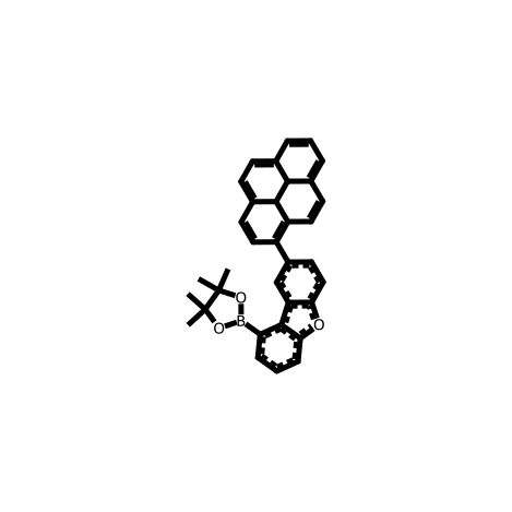 CC1(C)OB(c2cccc3oc4ccc(C5=C6C=CC7=CC=CC8=CC=C(C=C5)C6C78)cc4c23)OC1(C)C